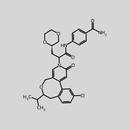 CC(C)C1Cc2ccc(Cl)cc2-c2cc(=O)n(C(C[C@@H]3COCCO3)C(=O)Nc3ccc(C(N)=O)cc3)cc2CO1